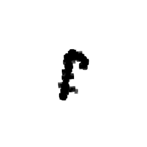 COC(=O)[C@@H]1CCN(Cc2ccc(C(=O)Nc3cccc(-c4cccc(NC(=O)c5ccc(CNCCNC(=O)CCCNc6nc(N)n7nc(-c8ccco8)nc7n6)cn5)c4C)c3Cl)nc2)C1